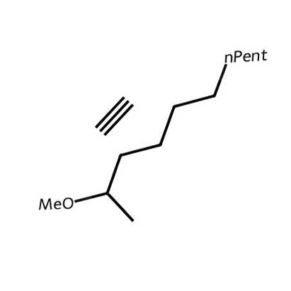 C#C.CCCCCCCCCC(C)OC